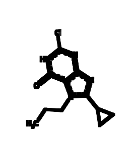 CCCn1c(C2CC2)nc2nc(Cl)[nH]c(=O)c21